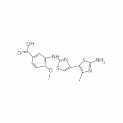 COc1ccc(C(=O)O)cc1Nc1nc(-c2sc(N)nc2C)cs1